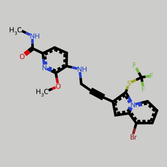 CNC(=O)c1ccc(NCC#Cc2cc3c(Br)cccn3c2SC(F)(F)F)c(OC)n1